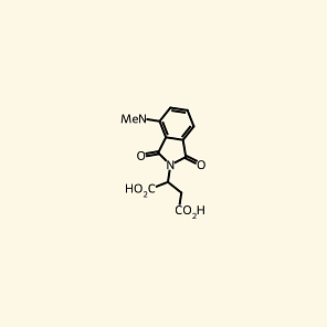 CNc1cccc2c1C(=O)N(C(CC(=O)O)C(=O)O)C2=O